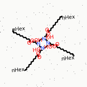 CCCCCC/C=C\CCCCCCCCCC(=O)OCC(O)CN1CCCN(CC(O)COC(=O)CCCCCCCCC/C=C\CCCCCC)CCN(CC(O)COC(=O)CCCCCCCCC/C=C\CCCCCC)CCCN(CC(O)COC(=O)CCCCCCCCC/C=C\CCCCCC)CC1